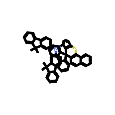 CC1(C)c2ccccc2-c2ccc(N(c3ccc4c(c3)C(C)(C)c3ccccc3-4)c3cccc4c3C3(c5ccccc5-c5ccccc53)c3ccc5ccccc5c3S4)cc21